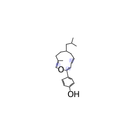 C/C1=C\O/C(c2ccc(O)cc2)=C\C=C\CC(CC(C)C)CC1